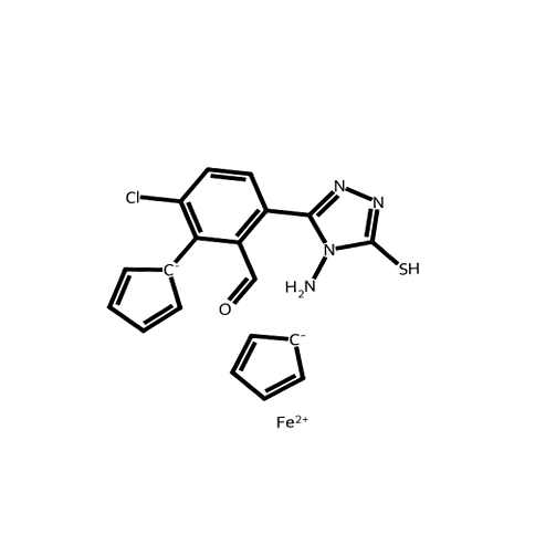 Nn1c(S)nnc1-c1ccc(Cl)c(-[c-]2cccc2)c1C=O.[Fe+2].c1cc[cH-]c1